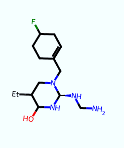 CCC1CN(CC2=CCC(F)CC2)[C@@H](NCN)NC1O